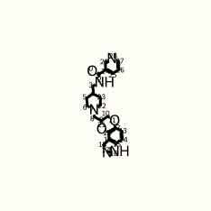 O=C(NCC1CCN(CC2COc3ccc4[nH]ncc4c3O2)CC1)c1cccnc1